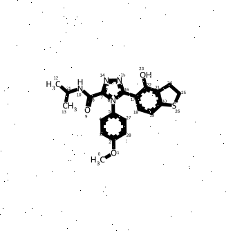 COc1ccc(-n2c(C(=O)NC(C)C)nnc2-c2ccc3c(c2O)CCS3)cc1